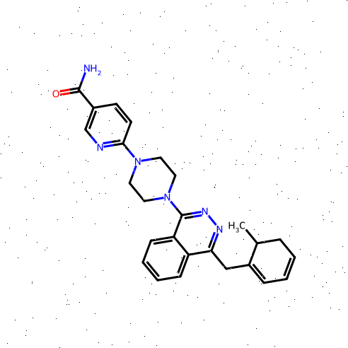 CC1CC=CC=C1Cc1nnc(N2CCN(c3ccc(C(N)=O)cn3)CC2)c2ccccc12